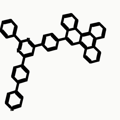 c1ccc(-c2nc(-c3ccc(-c4ccncc4)cc3)cc(-c3ccc(-c4cc5c6ccccc6c6ccccc6c5c5ccccc45)cc3)n2)cc1